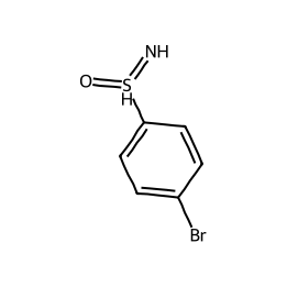 N=[SH](=O)c1ccc(Br)cc1